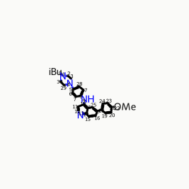 CCC(C)N1CCN(c2ccc(Nc3ccnc4ccc(-c5ccc(OC)cc5)cc34)cc2)CC1